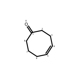 O=C1CCC=CCCC1